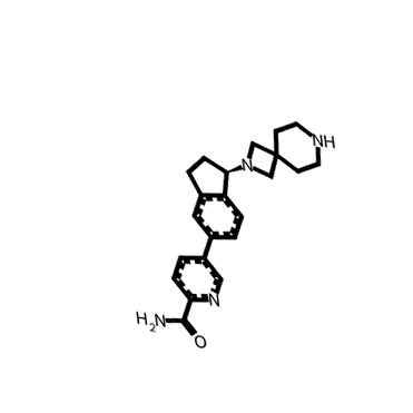 NC(=O)c1ccc(-c2ccc3c(c2)CC[C@H]3N2CC3(CCNCC3)C2)cn1